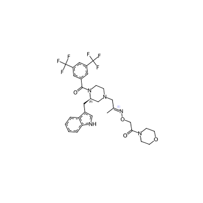 C/C(CN1CCN(C(=O)c2cc(C(F)(F)F)cc(C(F)(F)F)c2)[C@H](Cc2c[nH]c3ccccc23)C1)=N\OCC(=O)N1CCOCC1